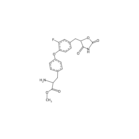 COC(=O)C(N)Cc1ccc(Oc2ccc(CC3OC(=O)NC3=O)cc2F)cc1